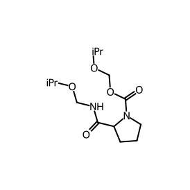 CC(C)OCNC(=O)C1CCCN1C(=O)OCOC(C)C